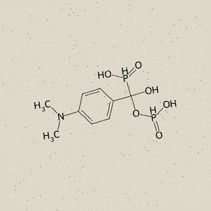 CN(C)c1ccc(C(O)(O[PH](=O)O)[PH](=O)O)cc1